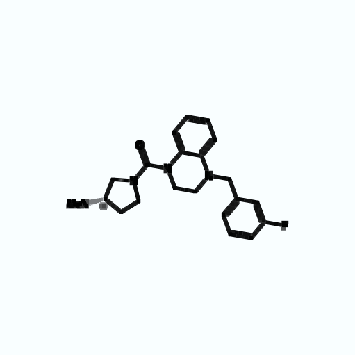 CN[C@H]1CCN(C(=O)N2CCN(Cc3cccc(F)c3)c3ccccc32)C1